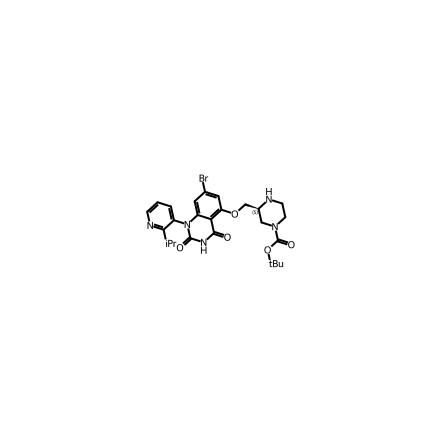 CC(C)c1ncccc1-n1c(=O)[nH]c(=O)c2c(OC[C@@H]3CN(C(=O)OC(C)(C)C)CCN3)cc(Br)cc21